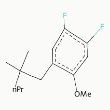 CCCC(C)(C)Cc1cc(F)c(F)cc1OC